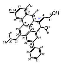 COC/C(=C\CO)C1C(C)c2c(C)cc(C)cc2-c2cc(CC(C)C)c3cc(-c4ccccc4)ccc3[n+]21